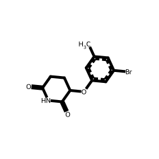 Cc1cc(Br)cc(OC2CCC(=O)NC2=O)c1